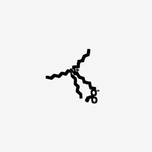 C=CC(=O)[O-].CCCCCCC[N+](CCCCCCC)(CCCCCCC)CCCCCCC